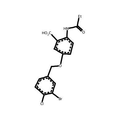 CCC(=O)Nc1ccc(OCc2ccc(Cl)c(Br)c2)cc1C(=O)O